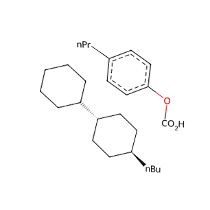 CCCC[C@H]1CC[C@H](C2CCCCC2)CC1.CCCc1ccc(OC(=O)O)cc1